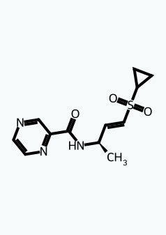 C[C@H](/C=C/S(=O)(=O)C1CC1)NC(=O)c1cnccn1